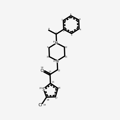 CC(c1ccccc1)N1CCN(CC(=O)c2ccc(Cl)s2)CC1